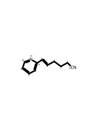 N#CCCC/C=C/c1ccccn1